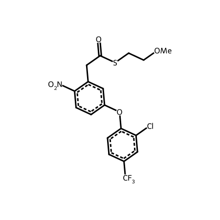 COCCSC(=O)Cc1cc(Oc2ccc(C(F)(F)F)cc2Cl)ccc1[N+](=O)[O-]